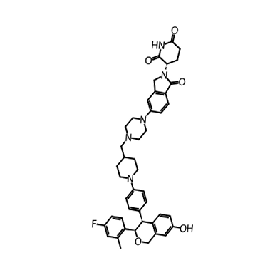 Cc1cc(F)ccc1[C@@H]1OCc2cc(O)ccc2[C@@H]1c1ccc(N2CCC(CN3CCN(c4ccc5c(c4)CN([C@H]4CCC(=O)NC4=O)C5=O)CC3)CC2)cc1